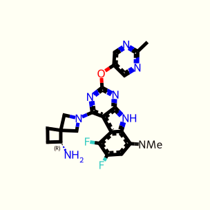 CNc1cc(F)c(F)c2c1[nH]c1nc(Oc3cnc(C)nc3)nc(N3CC4(CC[C@H]4N)C3)c12